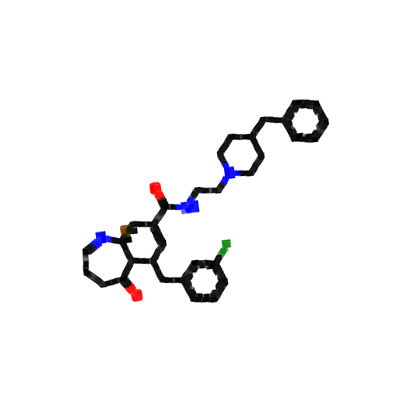 O=C(NCCN1CCC(Cc2ccccc2)CC1)C1=CC(Cc2cccc(F)c2)C2C(=O)CCC=NC23CSC=C13